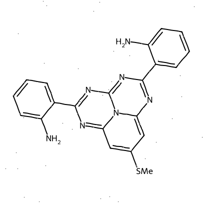 CSC1=CC2=NC(c3ccccc3N)=NC3=NC(c4ccccc4N)=NC(=C1)N23